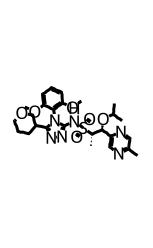 COc1cccc(OC)c1-n1c(NS(=O)(=O)[C@@H](C)[C@@H](OC(C)C)c2cnc(C)cn2)nnc1C1CCCOC1